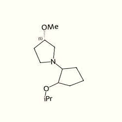 CO[C@H]1CCN(C2CCCC2OC(C)C)C1